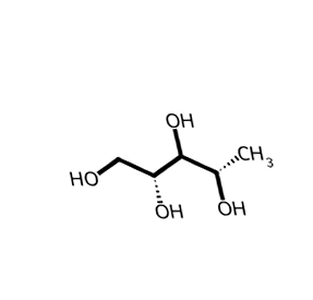 C[C@H](O)C(O)[C@H](O)CO